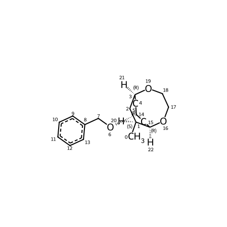 C[C@H]1C[C@@H]2C[C@@H](OCc3ccccc3)C[C@H]1OCCO2